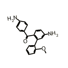 COc1ccccc1-c1cc(N)ccc1C(=O)c1ccc(N)cc1